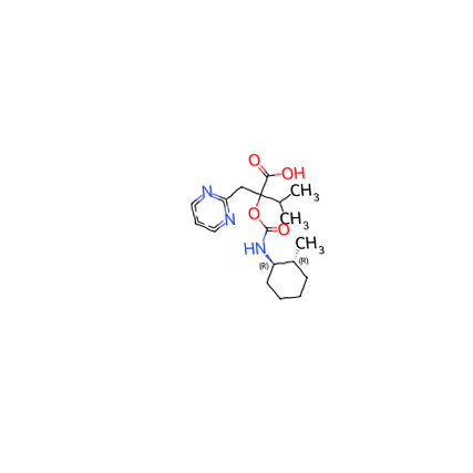 CC(C)C(Cc1ncccn1)(OC(=O)N[C@@H]1CCCC[C@H]1C)C(=O)O